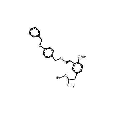 COc1ccc(CC(OC(C)C)C(=O)O)cc1C=NOCc1ccc(OCc2ccccc2)cc1